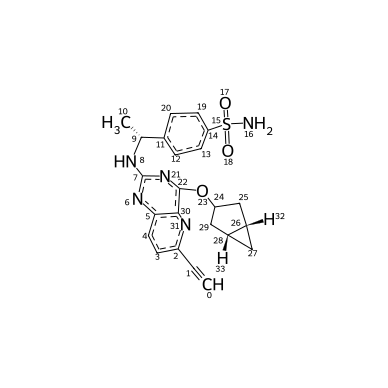 C#Cc1ccc2nc(N[C@H](C)c3ccc(S(N)(=O)=O)cc3)nc(OC3C[C@@H]4C[C@@H]4C3)c2n1